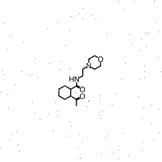 CC(=O)C1CCCCC1C(=O)NCCN1CCOCC1